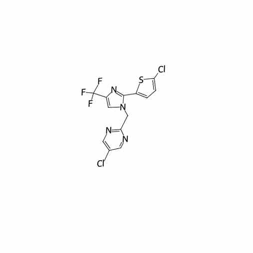 FC(F)(F)c1cn(Cc2ncc(Cl)cn2)c(-c2ccc(Cl)s2)n1